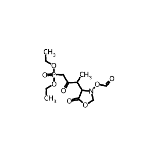 CCOP(=O)(CC(=O)C(C)C1C(=O)OCN1OC=O)OCC